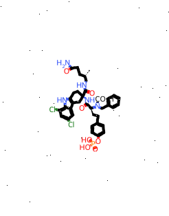 C[C@@H](CCC(N)=O)CNC(=O)[C@@]1(NC(=O)[C@H](CCc2ccc(OP(=O)(O)O)cc2)N(Cc2ccccc2)C(=O)O)CCc2[nH]c3c(Cl)cc(Cl)cc3c2C1